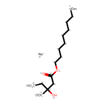 CCCCCCCCCCCCCCCCCCOC(=O)CC(O)(CC(=O)O)C(=O)[O-].[Na+]